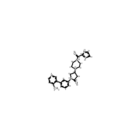 Cc1ccncc1-c1cccc(N2CC(N3CCN(C(=O)c4nccs4)CC3)CC2=O)c1